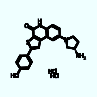 Cl.Cl.N[C@H]1CCN(c2ccc3[nH]c(=O)c4sc(-c5ccc(O)cc5)cc4c3c2)C1